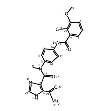 COc1cccc(C(=O)Nc2ccc(N(C)C(=O)c3nc[nH]c3C(N)=O)cc2)c1Cl